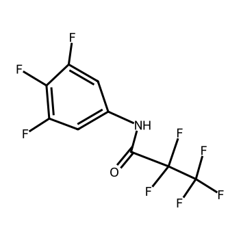 O=C(Nc1cc(F)c(F)c(F)c1)C(F)(F)C(F)(F)F